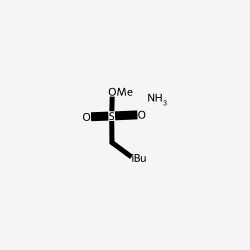 CCC(C)CS(=O)(=O)OC.N